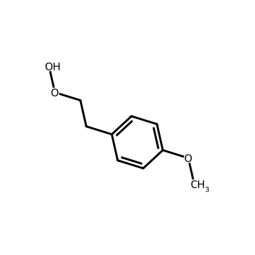 COc1ccc(CCOO)cc1